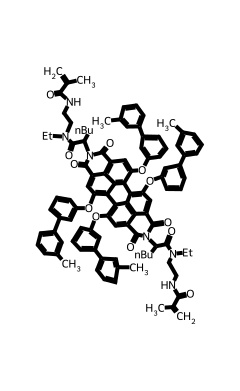 C=C(C)C(=O)NCCN(CC)C(=O)C(CCCC)N1C(=O)c2cc(Oc3cccc(-c4cccc(C)c4)c3)c3c4c(Oc5cccc(-c6cccc(C)c6)c5)cc5c6c(cc(Oc7cccc(-c8cccc(C)c8)c7)c(c7c(Oc8cccc(-c9cccc(C)c9)c8)cc(c2c37)C1=O)c64)C(=O)N(C(CCCC)C(=O)N(CC)CCNC(=O)C(=C)C)C5=O